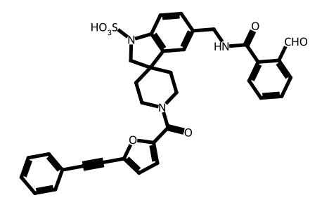 O=Cc1ccccc1C(=O)NCc1ccc2c(c1)C1(CCN(C(=O)c3ccc(C#Cc4ccccc4)o3)CC1)CN2S(=O)(=O)O